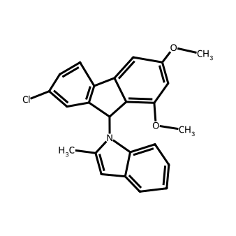 COc1cc(OC)c2c(c1)-c1ccc(Cl)cc1C2n1c(C)cc2ccccc21